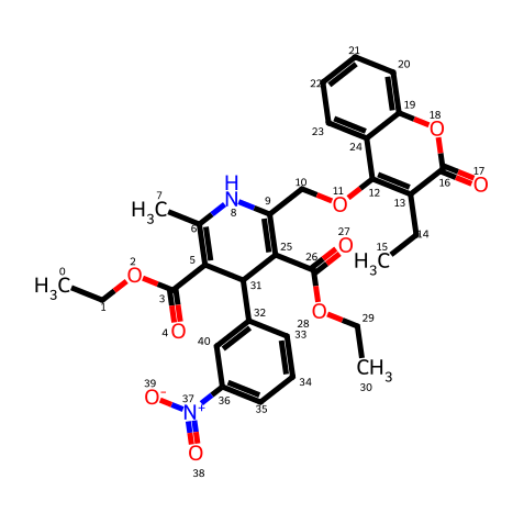 CCOC(=O)C1=C(C)NC(COc2c(CC)c(=O)oc3ccccc23)=C(C(=O)OCC)C1c1cccc([N+](=O)[O-])c1